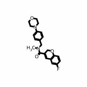 CN(Cc1ccc(N2CCOCC2)cc1)C(=O)C1=Cc2cc(F)ccc2OC1